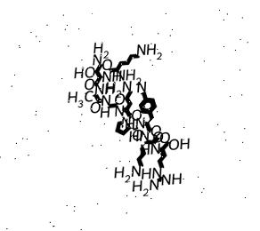 C[C@H](NC(=O)[C@@H](NC(=O)[C@@H](N)CCCCN)[C@@H](O)CN)C(=O)NCC(=O)/N=C(\CCCN)C(=O)N1CCC[C@H]1C(=O)N[C@@H](Cc1ccc(C#N)cc1)C(=O)N[C@@H](CCCCN)C(=O)N/C(=C\CCNC(=N)N)C(=O)O